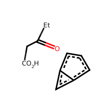 CCC(=O)CC(=O)O.c1cc2cc-2c1